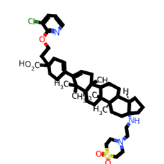 CC1(C)C(C2=CCC(CCOc3ncccc3Cl)(C(=O)O)CC2)=CCC2(C)C1CCC1(C)C2CCC2[C@H]3CCCC3(NCCN3CCS(=O)(=O)CC3)CC[C@]21C